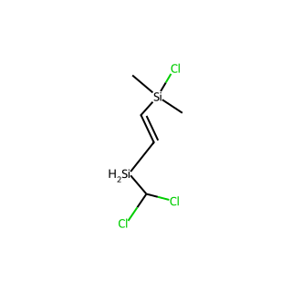 C[Si](C)(Cl)C=C[SiH2]C(Cl)Cl